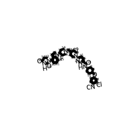 Cl.N#Cc1ccc(OC2CCC(NC(=O)c3ccc(N4CCC(CN5CC[C@@H](n6ccc7c(N8CCC(=O)NC8=O)cccc76)[C@@H](F)C5)CC4)nn3)CC2)cc1Cl